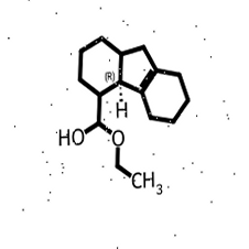 CCOC(O)C1CCCC2CC3=C(CCCC3)[C@H]21